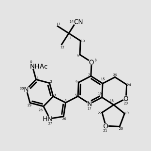 CC(=O)Nc1cc2c(-c3cc(OCCC(C)(C)C#N)c4c(n3)C3(CCOC3)OCC4)c[nH]c2cn1